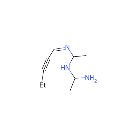 CCC#C/C=N\C(C)NC(C)N